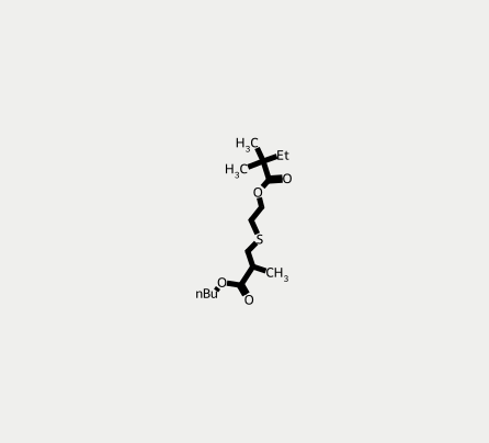 CCCCOC(=O)C(C)CSCCOC(=O)C(C)(C)CC